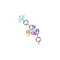 CCS(=O)(=O)c1cc(-c2ccc(C(F)(F)F)cc2)cnc1-c1ncc(-c2ccc(C)cc2)n1C